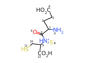 NC(CCC(=O)O)C(=O)[NH+]([S-])C(CS)C(=O)O